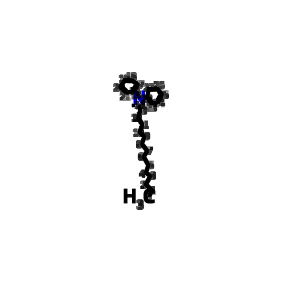 CCCCCCCCCCCCCC[CH]N(c1ccccc1)c1ccccc1